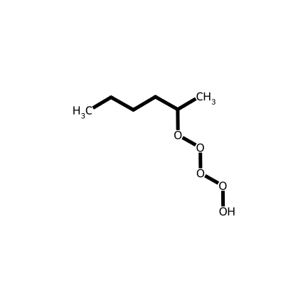 CCCCC(C)OOOOO